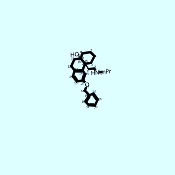 CCCNCC[C@]12CCCC[C@@]1(O)CCc1ccc(OCc3ccccc3)cc12